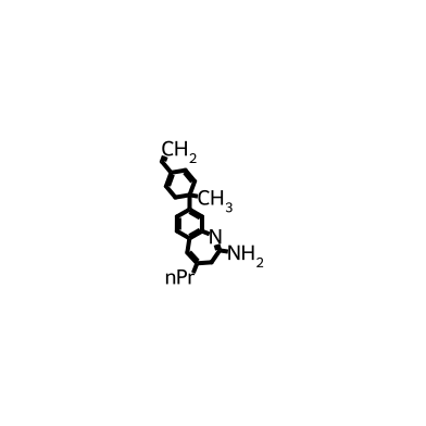 C=CC1=CCC(C)(c2ccc3c(c2)N=C(N)CC(CCC)=C3)C=C1